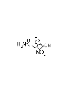 Cc1cc(C#N)cc([N+](=O)[O-])c1CCCC(N)=O